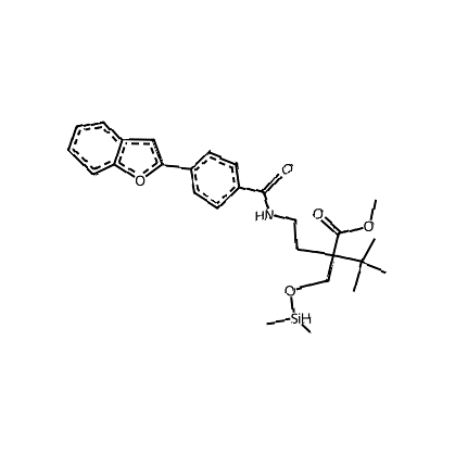 COC(=O)C(CCNC(=O)c1ccc(-c2cc3ccccc3o2)cc1)(CO[SiH](C)C)C(C)(C)C